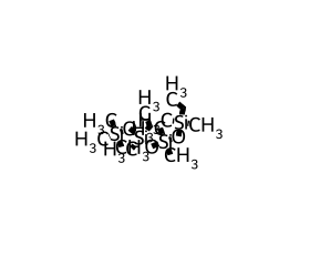 CC[Si](C)(C)O[Si](C)(C)O[Si](C)(CC)O[Si](C)(C)C